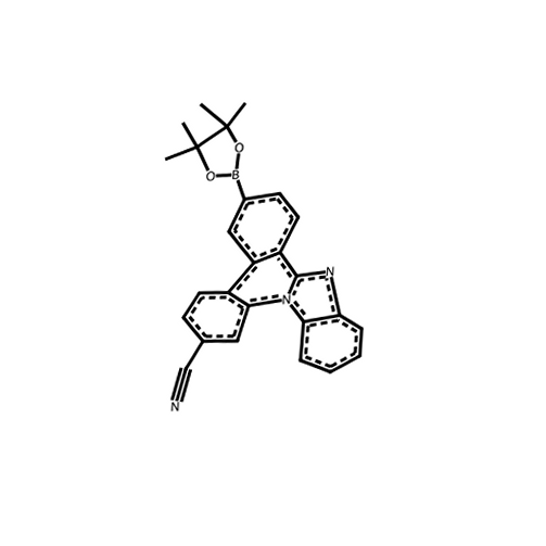 CC1(C)OB(c2ccc3c(c2)c2ccc(C#N)cc2n2c4ccccc4nc32)OC1(C)C